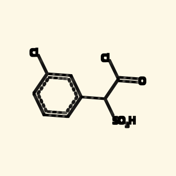 O=C(Cl)C(c1cccc(Cl)c1)S(=O)(=O)O